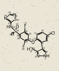 Nc1n[nH]cc1-c1cc(Cl)ccc1Oc1cc(F)c(S(=O)(=O)Nc2ncns2)cc1F